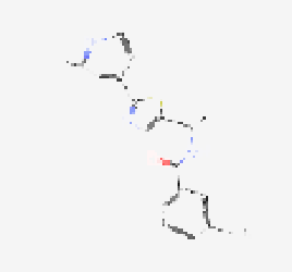 C[C@@H](NC(=O)c1cccc(C#N)c1)c1cnc(-c2ccnc(C(F)(F)F)c2)s1